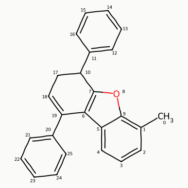 Cc1cccc2c3c(oc12)C(c1ccccc1)CC=C3c1ccccc1